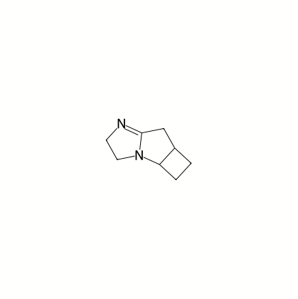 C1CN2C(=N1)CC1CCC12